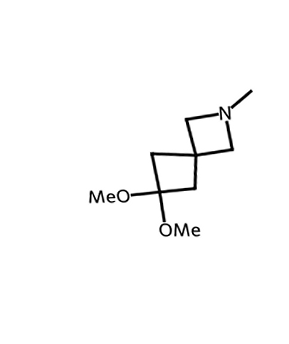 COC1(OC)CC2(CN(C)C2)C1